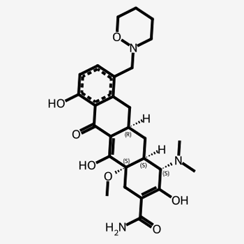 CO[C@@]12CC(C(N)=O)=C(O)[C@@H](N(C)C)[C@@H]1C[C@@H]1Cc3c(CN4CCCCO4)ccc(O)c3C(=O)C1=C2O